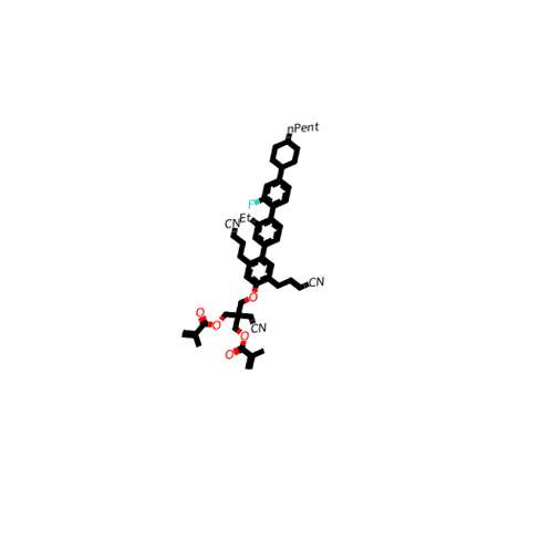 C=C(C)C(=O)OCC(CC#N)(COC(=O)C(=C)C)COc1cc(CCCC#N)c(-c2ccc(-c3ccc(C4CCC(CCCCC)CC4)cc3F)c(CC)c2)cc1CCCC#N